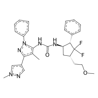 COCC[C@@H]1C[C@@H](NC(=O)Nc2c(C)c(-c3cnn(C)c3)nn2-c2ccccc2)[C@H](c2ccccc2)C1(F)F